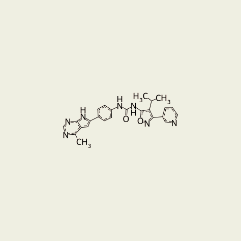 Cc1ncnc2[nH]c(-c3ccc(NC(=O)Nc4onc(-c5cccnc5)c4C(C)C)cc3)cc12